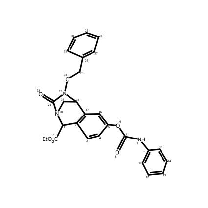 CCOC(=O)C1c2ccc(OC(=O)Nc3ccccc3)cc2C2CN1C(=O)N2OCc1ccccc1